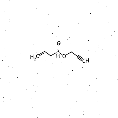 C#CCO[PH](=O)CC=C